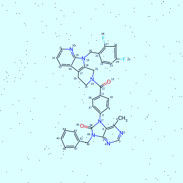 Cc1ncnc2c1n(-c1ccc(C(=O)N3CCc4c(n(Cc5ccc(F)cc5F)c5ncccc45)C3)cc1)c(=O)n2Cc1ccccc1